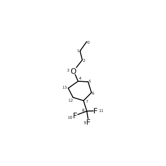 CCCOC1CCC(C(F)(F)F)CC1